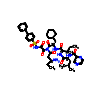 CC[C@H](N)CC(=O)N(C(=O)C(=O)NS(=O)(=O)c1ccc(-c2ccccc2)cc1)C(=O)[C@H](CC1CCCCC1)NC(=O)[C@@H](NC(=O)[C@H](CC(C)C)NC(=O)c1cnccn1)[C@@H](C)CC